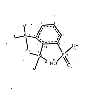 C[Si](C)(C)c1cccc(P(=O)(O)O)c1[Si](C)(C)C